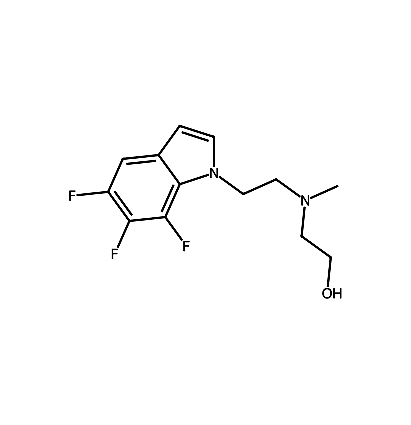 CN(CCO)CCn1ccc2cc(F)c(F)c(F)c21